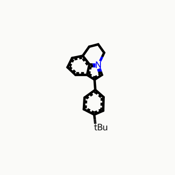 CC(C)(C)c1ccc(-c2cn3c4c(cccc24)CCC3)cc1